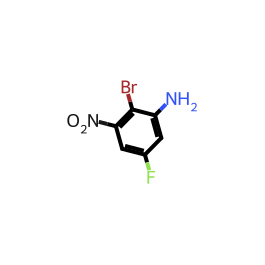 Nc1cc(F)cc([N+](=O)[O-])c1Br